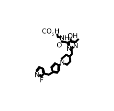 Cc1nc(CC2CCN(c3ccc(Cc4cccnc4F)cc3)CC2)nc(C(=O)NCC(=O)O)c1O